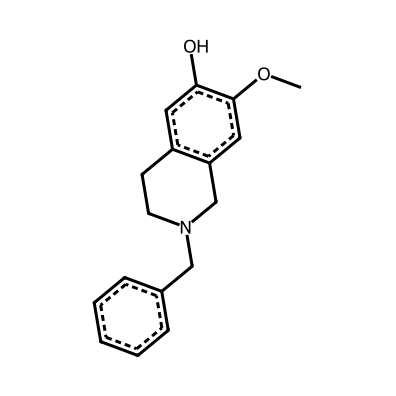 COc1cc2c(cc1O)CCN(Cc1ccccc1)C2